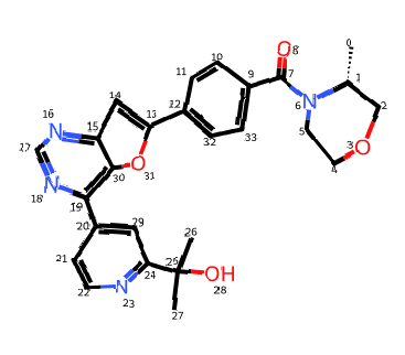 C[C@@H]1COCCN1C(=O)c1ccc(-c2cc3ncnc(-c4ccnc(C(C)(C)O)c4)c3o2)cc1